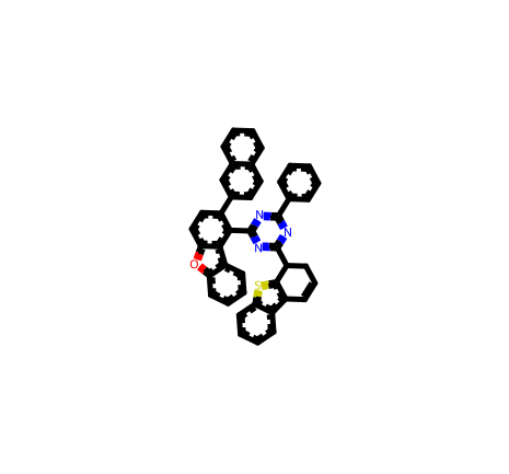 C1=Cc2c(sc3ccccc23)C(c2nc(-c3ccccc3)nc(-c3c(-c4ccc5ccccc5c4)ccc4oc5ccccc5c34)n2)C1